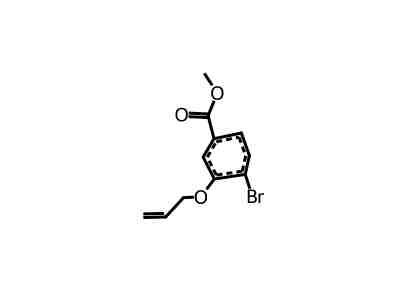 C=CCOc1cc(C(=O)OC)ccc1Br